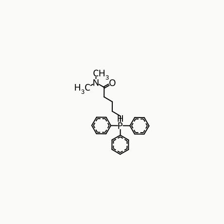 CN(C)C(=O)CCCC[PH](c1ccccc1)(c1ccccc1)c1ccccc1